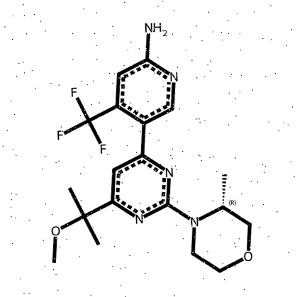 COC(C)(C)c1cc(-c2cnc(N)cc2C(F)(F)F)nc(N2CCOC[C@H]2C)n1